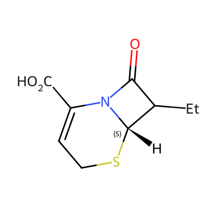 CCC1C(=O)N2C(C(=O)O)=CCS[C@@H]12